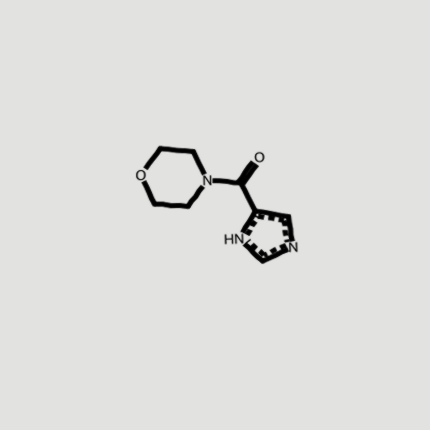 O=C(c1cnc[nH]1)N1CCOCC1